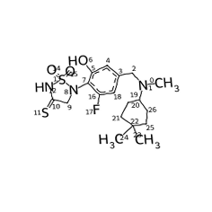 CN(Cc1cc(O)c(N2CC(=S)NS2(=O)=O)c(F)c1)C1CCC(C)(C)CC1